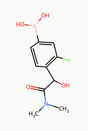 CN(C)C(=O)C(O)c1ccc(B(O)O)cc1F